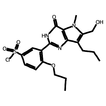 CCCOc1ccc(S(=O)(=O)Cl)cc1-c1nc2c(CCC)c(CO)n(C)c2c(=O)[nH]1